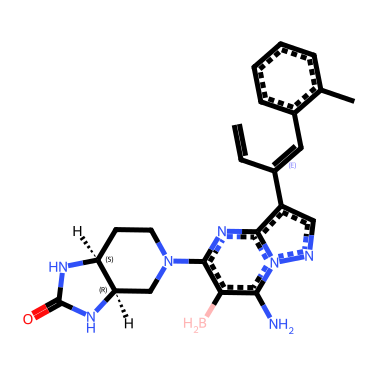 Bc1c(N2CC[C@@H]3NC(=O)N[C@@H]3C2)nc2c(/C(C=C)=C/c3ccccc3C)cnn2c1N